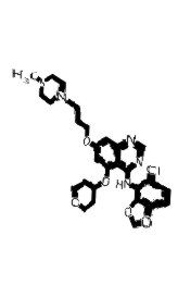 CN1CCN(CCCOc2cc(OC3CCOCC3)c3c(Nc4c(Cl)ccc5c4OCO5)ncnc3c2)CC1